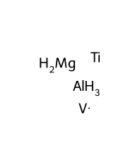 [AlH3].[MgH2].[Ti].[V]